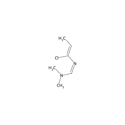 C/C=C(Cl)/N=C\N(C)C